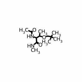 CNC(=O)C(NC(C)=O)C(C)OCC(C)(C)C